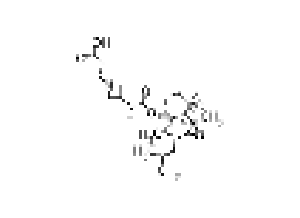 CO[C@@H]1[C@H](OC(=O)NC2CN(CCC(=O)O)C2)CC[C@]2(CO2)[C@H]1[C@@]1(C)OC1CC=C(C)C